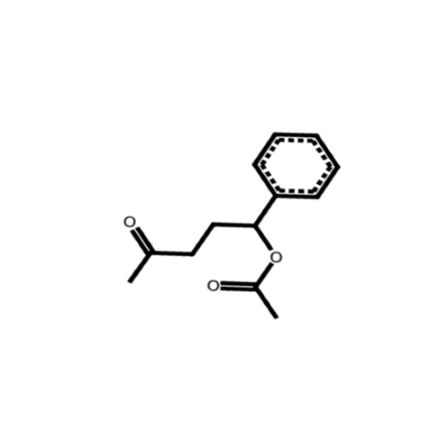 CC(=O)CCC(OC(C)=O)c1ccccc1